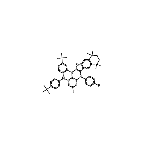 Cc1cc2c3c(c1)N(c1ccc(F)cc1)c1c(sc4cc5c(cc14)C(C)(C)CCC5(C)C)B3c1cc(C(C)(C)C)ccc1N2c1ccc(C(C)(C)C)cc1